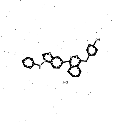 Cl.Oc1ccc(Cc2nnc(-c3ccc4c(c3)ncn4Nc3ccccc3)c3ccccc23)cc1